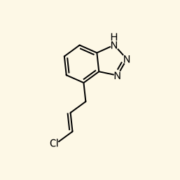 ClC=CCc1cccc2[nH]nnc12